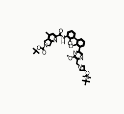 COc1nc(-c2cccc(-c3cccc(NC(=O)c4cc(C)c5c(n4)CN(C(=O)OC(C)(C)C)C5)c3Cl)c2Cl)cnc1CN1CC(O[Si](C)(C)C(C)(C)C)C1